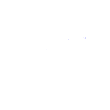 Cc1ccc(-c2nc(N)nc3c2C(=O)N(C2CC2)/C3=C\c2ccccc2)o1